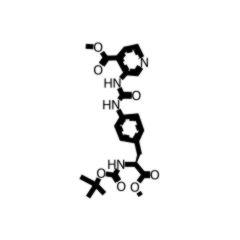 COC(=O)c1ccncc1NC(=O)Nc1ccc(C[C@H](NC(=O)OC(C)(C)C)C(=O)OC)cc1